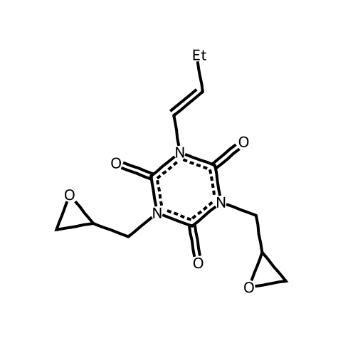 CCC=Cn1c(=O)n(CC2CO2)c(=O)n(CC2CO2)c1=O